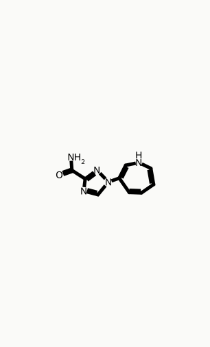 NC(=O)c1ncn(C2=CNC=CC=C2)n1